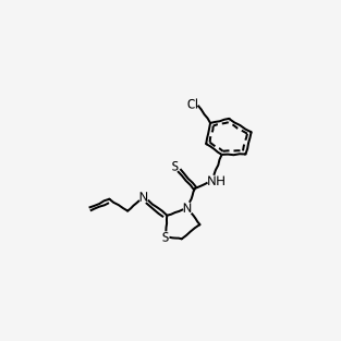 C=CC/N=C1\SCCN1C(=S)Nc1cccc(Cl)c1